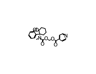 CN(C(=O)OCOC(=O)c1ccncc1)[C@@]1(c2ccccc2Cl)CCCCC1=O